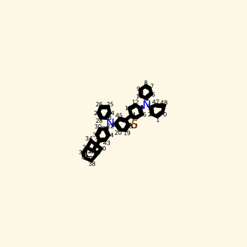 c1ccc(N(c2ccccc2)c2ccc3c(c2)sc2ccc(N(c4ccccc4)c4ccc(C56CC7CC8CC(C5)C76C8)cc4)cc23)cc1